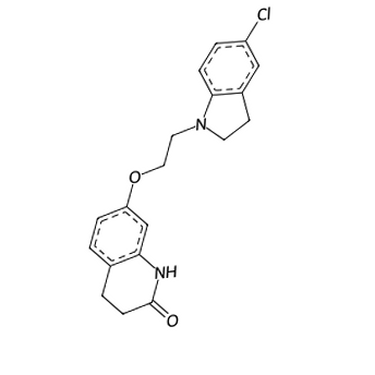 O=C1CCc2ccc(OCCN3CCc4cc(Cl)ccc43)cc2N1